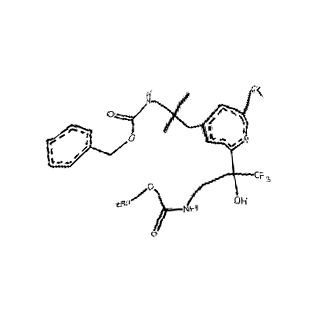 CC(C)(C)OC(=O)NCC(O)(c1cc(C(C)(C)NC(=O)OCc2ccccc2)cc(Cl)n1)C(F)(F)F